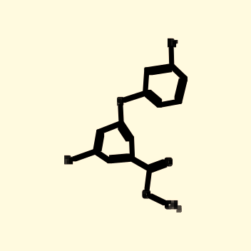 COC(=O)c1cc(Br)cc(Sc2cccc(Br)c2)c1